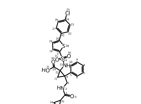 O=C(NCC1(c2ccccc2)CC1(NS(=O)(=O)c1ccc(-c2ccc(Cl)cc2)s1)C(=O)O)C1CC1